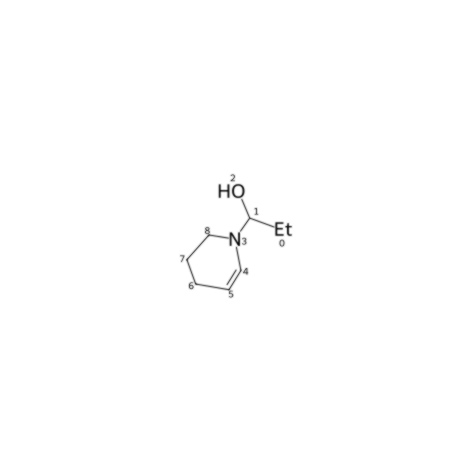 CCC(O)N1C=CCCC1